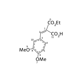 CCOC(=O)C(=Cc1ccc(OC)c(OC)c1)C(=O)O